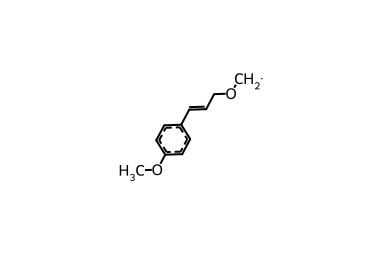 [CH2]OCC=Cc1ccc(OC)cc1